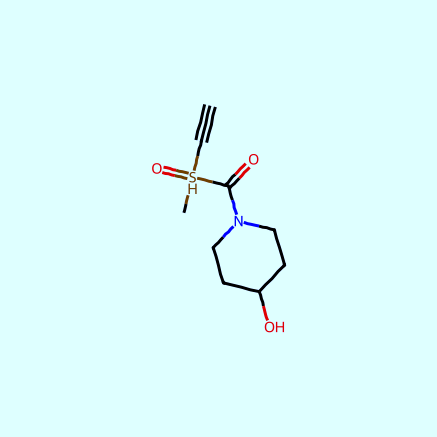 C#C[SH](C)(=O)C(=O)N1CCC(O)CC1